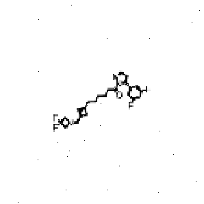 O=C(CCCCCC12CC(CN3CC(F)(F)C3)(C1)C2)N1N=CCC1c1cc(F)cc(F)c1